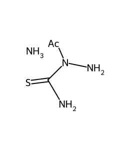 CC(=O)N(N)C(N)=S.N